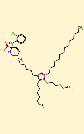 CCCCCCCCCCCCCCp1cc(CCCCCC)c(CCCCCC)c1CCCCCC.O=C(O)C1(Nc2ccccc2F)C=CC=CN1